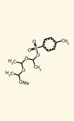 COC(C)OC(C)OC(C)OS(=O)(=O)c1ccc(C)cc1